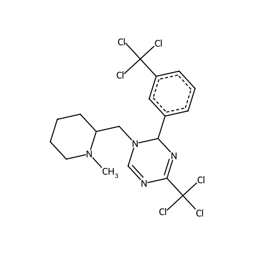 CN1CCCCC1CN1C=NC(C(Cl)(Cl)Cl)=NC1c1cccc(C(Cl)(Cl)Cl)c1